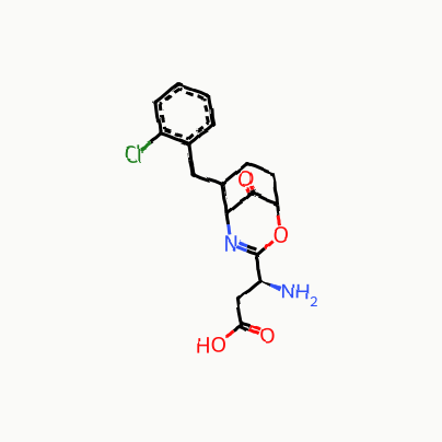 N[C@@H](CC(=O)O)C1=NC2C(=O)C(CCC2Cc2ccccc2Cl)O1